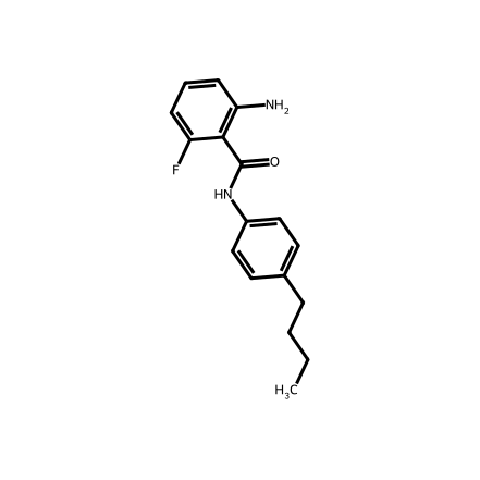 CCCCc1ccc(NC(=O)c2c(N)cccc2F)cc1